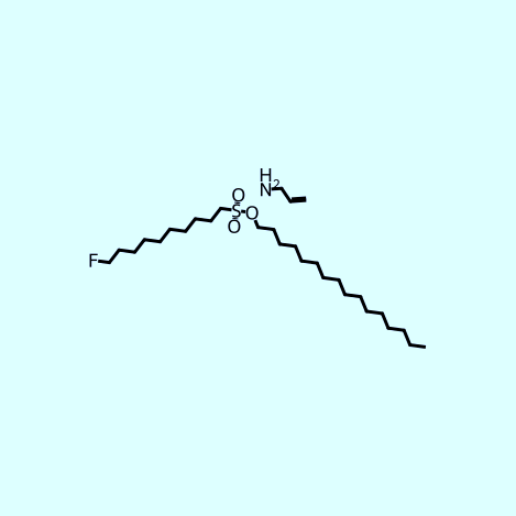 C=CCN.CCCCCCCCCCCCCCCCOS(=O)(=O)CCCCCCCCCCF